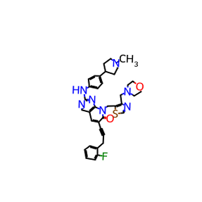 CN1CCC(c2ccc(Nc3ncc4cc(C#CCc5ccccc5F)c(=O)n(Cc5scnc5CN5CCOCC5)c4n3)cc2)CC1